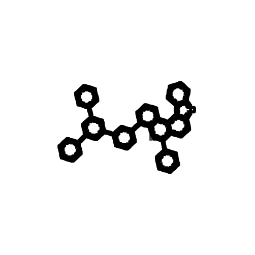 c1ccc(-c2cc(-c3ccccc3)cc(-c3cccc(-c4cccc5c4nc(-c4ccccc4)c4ccc6oc7ccccc7c6c45)c3)c2)cc1